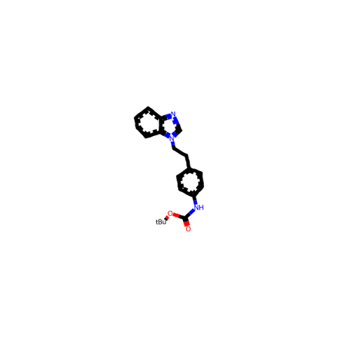 CC(C)(C)OC(=O)Nc1ccc(CCn2cnc3ccccc32)cc1